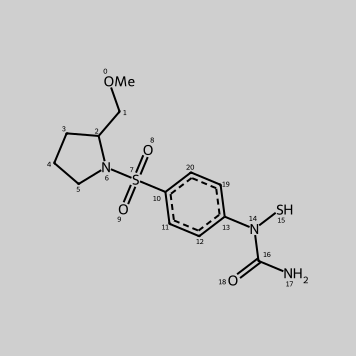 COCC1CCCN1S(=O)(=O)c1ccc(N(S)C(N)=O)cc1